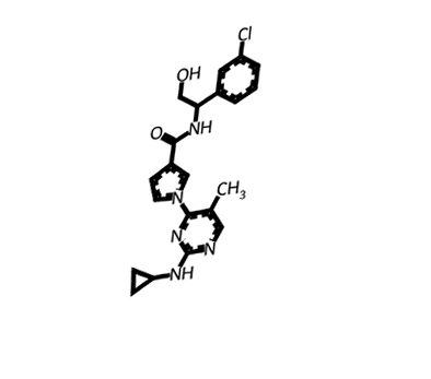 Cc1cnc(NC2CC2)nc1-n1ccc(C(=O)NC(CO)c2cccc(Cl)c2)c1